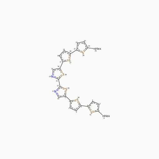 CCCCCCc1ccc(-c2ccc(-c3cnc(-c4ncc(-c5ccc(-c6ccc(CCCCCC)s6)s5)s4)s3)s2)s1